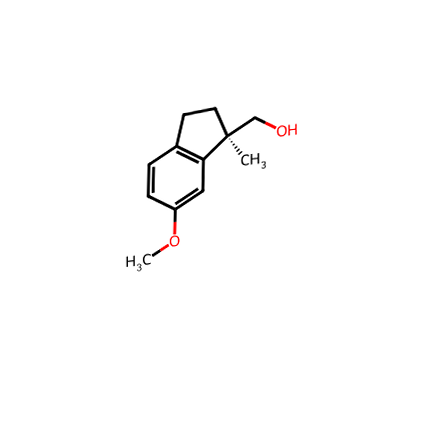 COc1ccc2c(c1)[C@](C)(CO)CC2